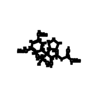 COC(=O)CNC(=O)C(c1nc(OC)cc(OC)n1)(C1CCCC1)S(C)(=O)=O